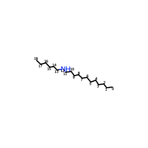 CCCCCCCCCCCCNCCCCCC